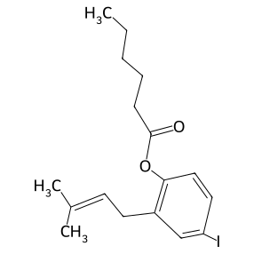 CCCCCC(=O)Oc1ccc(I)cc1CC=C(C)C